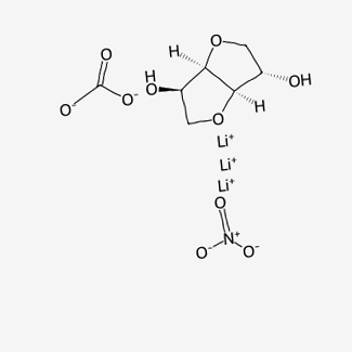 O=C([O-])[O-].O=[N+]([O-])[O-].O[C@@H]1CO[C@H]2[C@@H]1OC[C@@H]2O.[Li+].[Li+].[Li+]